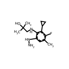 Cc1cc(NN)c(NCC(C)(C)O)c(C2CC2)c1F